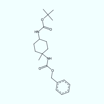 CC1(NC(=O)OCc2ccccc2)CCC(NC(=O)OC(C)(C)C)CC1